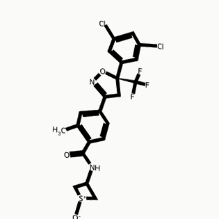 Cc1cc(C2=NO[C@@](c3cc(Cl)cc(Cl)c3)(C(F)(F)F)C2)ccc1C(=O)NC1C[S+]([O-])C1